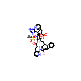 CC(C(=O)N[C@](CS(=O)(=O)C(C)(C)C)(OC(=O)CCc1cccnc1NC(=O)CCc1ccccc1)[C@@](CCC1CCCCC1)(OC(=O)CCc1cccnc1)C1CC1)c1c[nH]cn1